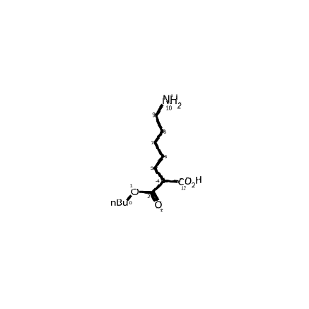 CCCCOC(=O)C(CCCCCN)C(=O)O